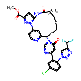 COC(=O)c1cc2n(n1)-c1ccnc(c1)[C@@H](n1cnc(-c3cc(Cl)ccc3-n3cc(C(F)F)nn3)cc1=O)CCCC[C@@H](C)C(=O)N2